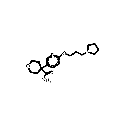 NC(=S)C1(c2ccc(OCCCN3CCCC3)nc2)CCOCC1